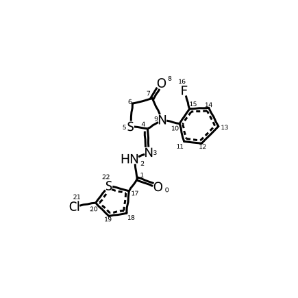 O=C(N/N=C1\SCC(=O)N1c1ccccc1F)c1ccc(Cl)s1